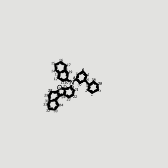 c1ccc(-c2cccc(N(c3ccc4ccccc4c3)c3cccc4c3oc3ccc5ccccc5c34)c2)cc1